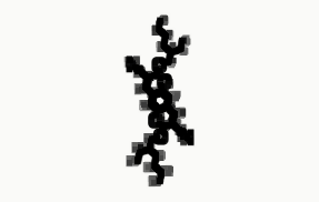 CCCCC(CC)COC(=O)C(C#N)=Cc1ccc(C=C(C#N)C(=O)OCC(CC)CCCC)cc1